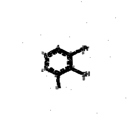 Cc1nncc(C(C)C)c1S